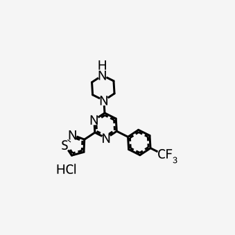 Cl.FC(F)(F)c1ccc(-c2cc(N3CCNCC3)nc(-c3ccsn3)n2)cc1